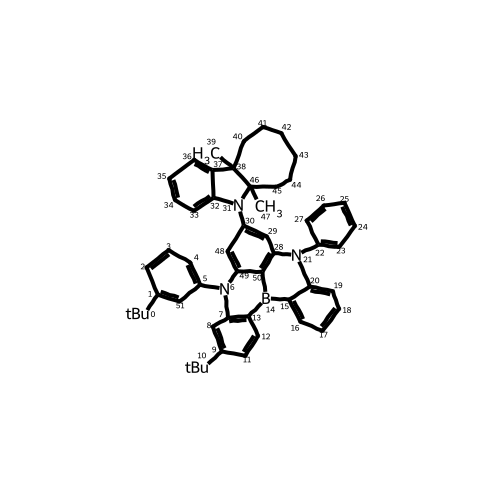 CC(C)(C)c1cccc(N2c3cc(C(C)(C)C)ccc3B3c4ccccc4N(c4ccccc4)c4cc(N5c6ccccc6C6(C)CCCCCCC56C)cc2c43)c1